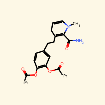 CC(C)C(=O)Oc1ccc(CCC2=C(C(N)=O)N(C)C=CC2)cc1OC(=O)C(C)C